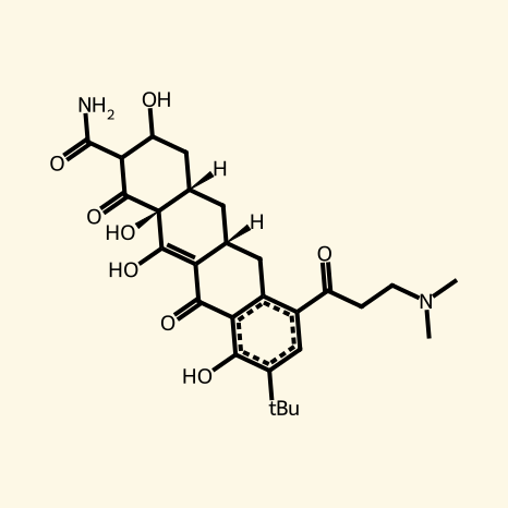 CN(C)CCC(=O)c1cc(C(C)(C)C)c(O)c2c1C[C@H]1C[C@H]3CC(O)C(C(N)=O)C(=O)[C@@]3(O)C(O)=C1C2=O